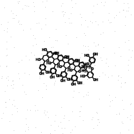 OC1=C2C(=CC(O)C1)O[C@@]1(c3ccc(O)c(O)c3)Oc3cc(O)c4c(c3[C@@H]2[C@H]1O)OC(c1ccc(O)c(O)c1)C(O)C4c1c(O)cc(O)c2c1OC(c1ccc(O)c(O)c1)C(O)C2c1c(O)cc(O)c2c1OC(c1ccc(O)c(O)c1)C(O)C2c1c(O)cc(O)c2c1OC(c1ccc(O)c(O)c1)C(O)C2